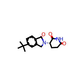 CC(C)(C)c1ccc2c(c1)CN([C@H]1CCC(=O)NC1=O)C2=O